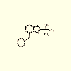 CC(C)(C)c1cc2ncnc(Oc3ccccc3)n2n1